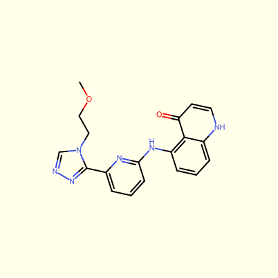 COCCn1cnnc1-c1cccc(Nc2cccc3[nH]ccc(=O)c23)n1